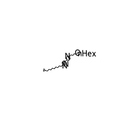 CCCCCCOCCCCc1ccc(-c2ccc(CCCCCCCCCC3CC3)nn2)cn1